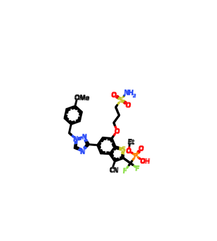 CCOP(=O)(O)C(F)(F)c1sc2c(OCCCS(N)(=O)=O)cc(-c3ncn(Cc4ccc(OC)cc4)n3)cc2c1C#N